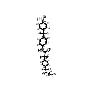 CCC(C)(C)C(=O)C(F)(F)c1ccc(C(F)(F)C(=O)Nc2ccc(C(C)(C)c3ccc(NC)cc3)cc2)cc1